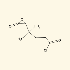 CC(C)(CCC(=O)Cl)C1OC1=O